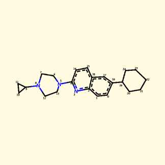 c1cc2nc(N3CCN(C4CC4)CC3)ccc2cc1C1CCCCC1